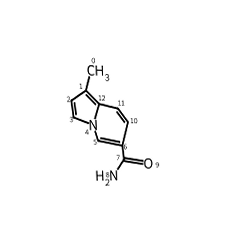 Cc1ccn2cc(C(N)=O)ccc12